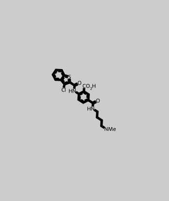 CNCCCCNC(=O)c1ccc(NC(=O)c2sc3ccccc3c2Cl)c(C(=O)O)c1